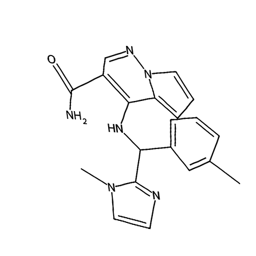 Cc1cccc(C(Nc2c(C(N)=O)cnn3cccc23)c2nccn2C)c1